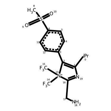 CC(C)C1=C(c2ccc(S(C)(=O)=O)cc2)[N+](C(F)(F)F)(C(F)(F)F)C(CN)=N1